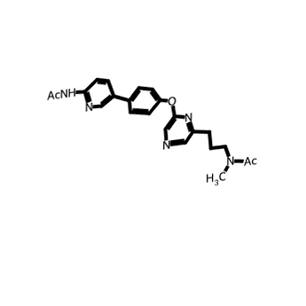 CC(=O)Nc1ccc(-c2ccc(Oc3cncc(CCCN(C)C(C)=O)n3)cc2)cn1